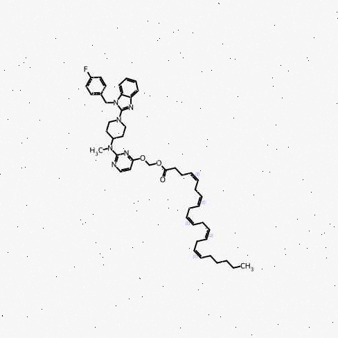 CCCCC/C=C\C/C=C\C/C=C\C/C=C\C/C=C\CCC(=O)OCOc1ccnc(N(C)C2CCN(c3nc4ccccc4n3Cc3ccc(F)cc3)CC2)n1